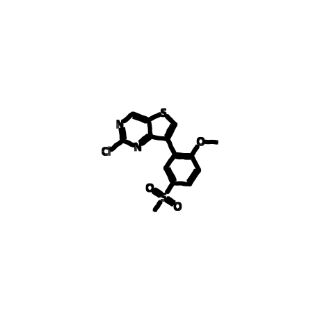 COc1ccc(S(C)(=O)=O)cc1-c1csc2cnc(Cl)nc12